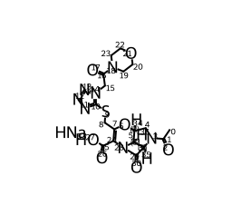 CC(=O)N1C[C@H]2OC(CSc3nnnn3CC(=O)N3CCOCC3)=C(C(=O)O)N3C(=O)[C@@H]1[C@@H]23.[NaH]